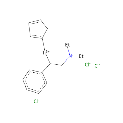 CCN(CC)C[CH]([Ti+3][C]1=CC=CC1)c1ccccc1.[Cl-].[Cl-].[Cl-]